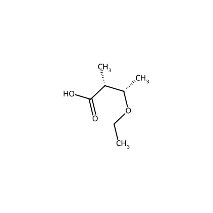 CCO[C@@H](C)[C@@H](C)C(=O)O